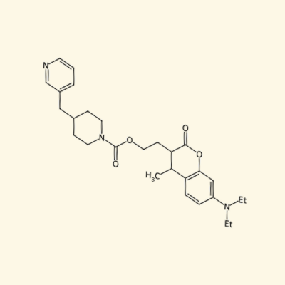 CCN(CC)c1ccc2c(c1)OC(=O)C(CCOC(=O)N1CCC(Cc3cccnc3)CC1)C2C